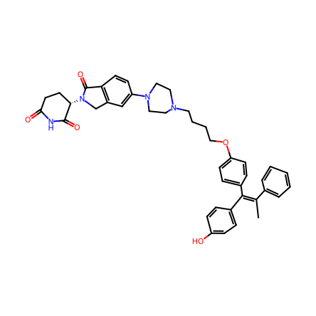 C/C(=C(\c1ccc(O)cc1)c1ccc(OCCCCN2CCN(c3ccc4c(c3)CN([C@H]3CCC(=O)NC3=O)C4=O)CC2)cc1)c1ccccc1